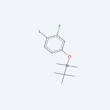 CC(C)(C)[Si](C)(C)Oc1ccc(I)c(F)c1